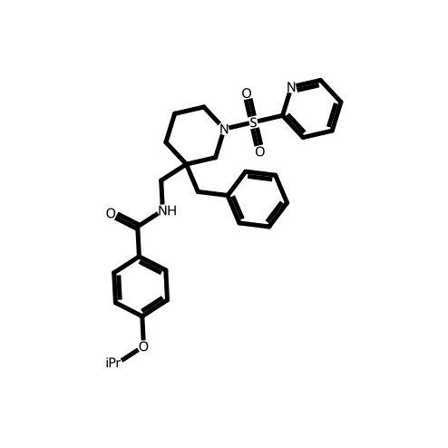 CC(C)Oc1ccc(C(=O)NCC2(Cc3ccccc3)CCCN(S(=O)(=O)c3ccccn3)C2)cc1